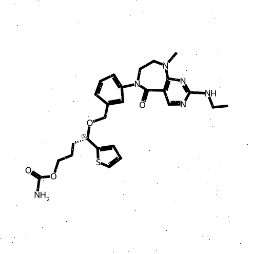 CCNc1ncc2c(n1)N(C)CCN(c1cccc(CO[C@@H](CCCOC(N)=O)c3cccs3)c1)C2=O